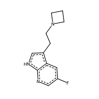 Fc1cnc2[nH]cc(CCN3CCC3)c2c1